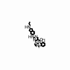 CCCNC1Cc2ccc(Nc3ncc4c(=O)n(-c5c(F)cccc5Cl)c5nccn5c4n3)cc2C1